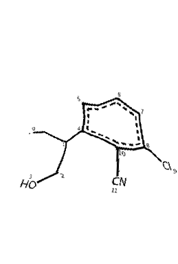 [CH2]C(CO)c1cccc(Cl)c1C#N